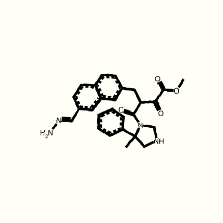 COC(=O)C(=O)C(Cc1ccc2ccc(C=NN)cc2c1)C(=O)N1CNCC1(C)c1ccccc1